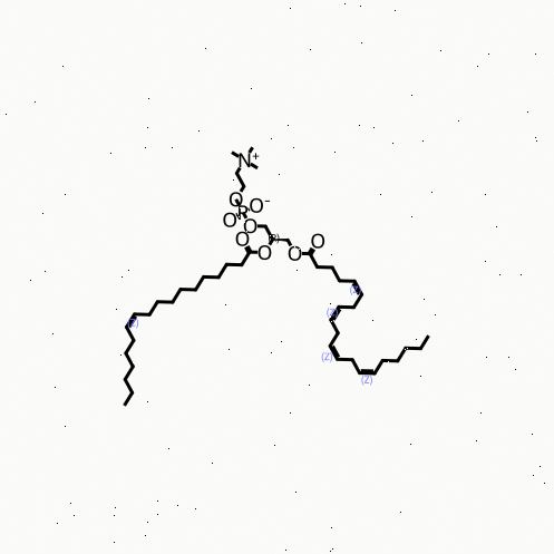 CCCCC/C=C\C/C=C\C/C=C\C/C=C\CCCC(=O)OC[C@H](COP(=O)([O-])OCC[N+](C)(C)C)OC(=O)CCCCCCCCC/C=C\CCCCCC